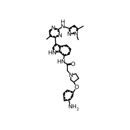 Cc1cnc(Nc2cc(C)n(C)n2)nc1-c1c[nH]c2c(NC(=O)CN3CCC(Oc4cccc(N)c4)C3)cccc12